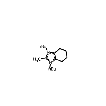 CCCCn1c2c([n+](CCCC)c1C)CCCC2